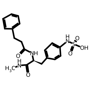 CNC(=O)[C@H](Cc1ccc(NS(=O)(=O)O)cc1)NC(=O)CCc1ccccc1